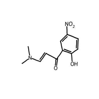 CN(C)C=CC(=O)c1cc([N+](=O)[O-])ccc1O